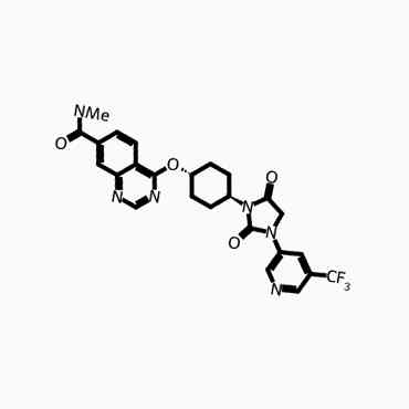 CNC(=O)c1ccc2c(O[C@H]3CC[C@H](N4C(=O)CN(c5cncc(C(F)(F)F)c5)C4=O)CC3)ncnc2c1